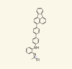 CC/C(C)=N/c1ccccc1Nc1ccc(-c2ccc(-c3ccc4c5c(cccc35)-c3ccccc3-4)cc2)cc1